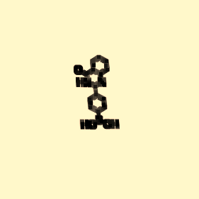 O=c1[nH]c(-c2ccc(B(O)O)cc2)nc2ccccc12